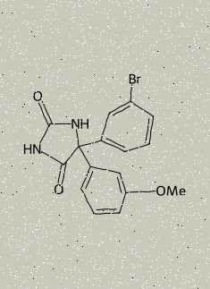 COc1cccc(C2(c3cccc(Br)c3)NC(=O)NC2=O)c1